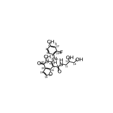 Cc1ccc(Nc2c(C(=O)NCC(O)CO)c3occc3c(=O)n2C)c(F)c1